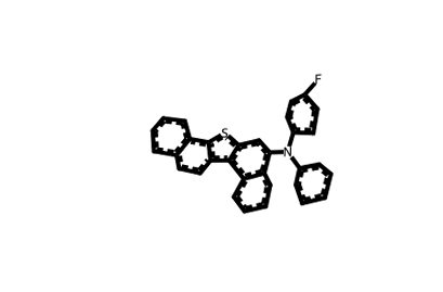 Fc1ccc(N(c2ccccc2)c2cc3sc4c5ccccc5ccc4c3c3ccccc23)cc1